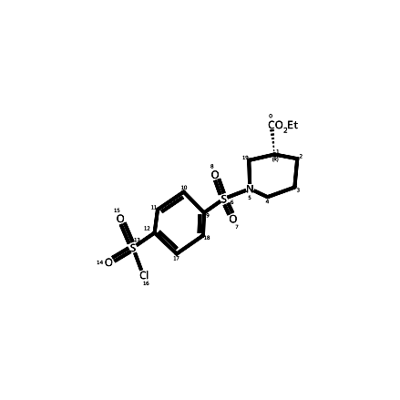 CCOC(=O)[C@@H]1CCCN(S(=O)(=O)c2ccc(S(=O)(=O)Cl)cc2)C1